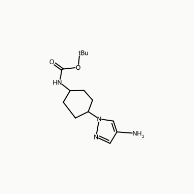 CC(C)(C)OC(=O)NC1CCC(n2cc(N)cn2)CC1